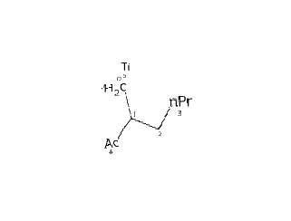 [CH2]C(CCCC)C(C)=O.[Ti]